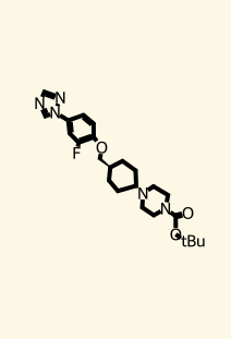 CC(C)(C)OC(=O)N1CCN([C@H]2CC[C@H](COc3ccc(-n4cncn4)cc3F)CC2)CC1